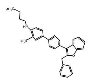 O=C(O)CCCNc1ccc(-c2ccc(-c3c(Cc4ccccc4)oc4ccccc34)cc2)cc1[N+](=O)[O-]